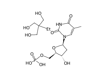 CCC(CO)(CO)CO.Cc1cn([C@H]2C[C@H](O)[C@@H](COP(=O)(O)O)O2)c(=O)[nH]c1=O